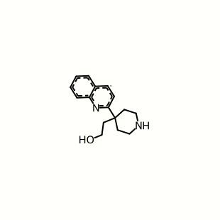 OCCC1(c2c[c]c3ccccc3n2)CCNCC1